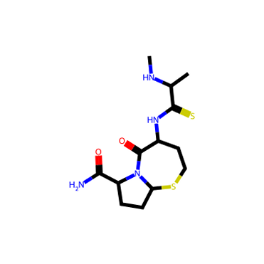 CNC(C)C(=S)NC1CCSC2CCC(C(N)=O)N2C1=O